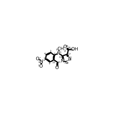 CN(c1ccc([N+](=O)[O-])cc1C=O)c1nsnc1C(=O)O